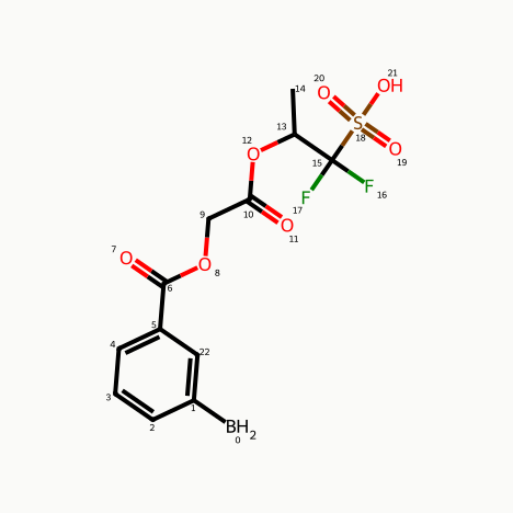 Bc1cccc(C(=O)OCC(=O)OC(C)C(F)(F)S(=O)(=O)O)c1